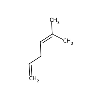 C=[C]CC=C(C)C